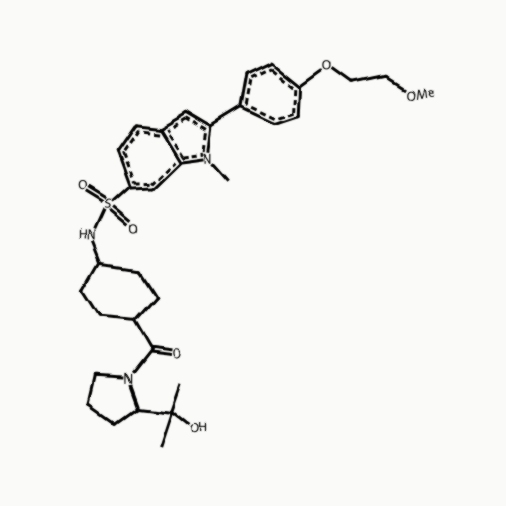 COCCOc1ccc(-c2cc3ccc(S(=O)(=O)NC4CCC(C(=O)N5CCCC5C(C)(C)O)CC4)cc3n2C)cc1